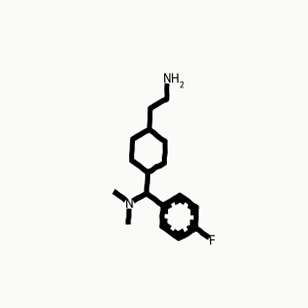 CN(C)C(c1ccc(F)cc1)C1CCC(CCN)CC1